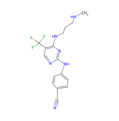 CNCCCNc1nc(Nc2ccc(C#N)cc2)ncc1C(F)(F)F